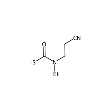 CCN(CCC#N)C(=O)[S]